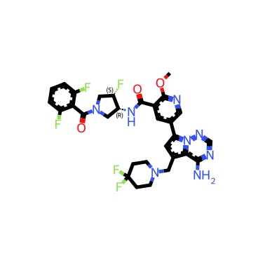 COc1ncc(-c2cc(CN3CCC(F)(F)CC3)c3c(N)ncnn23)cc1C(=O)N[C@@H]1CN(C(=O)c2c(F)cccc2F)C[C@@H]1F